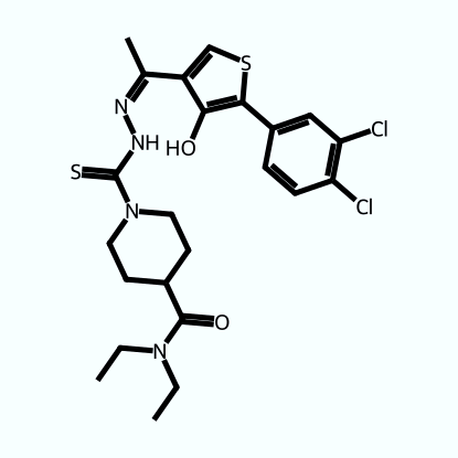 CCN(CC)C(=O)C1CCN(C(=S)NN=C(C)c2csc(-c3ccc(Cl)c(Cl)c3)c2O)CC1